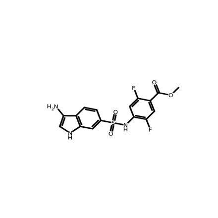 COC(=O)c1cc(F)c(NS(=O)(=O)c2ccc3c(N)c[nH]c3c2)cc1F